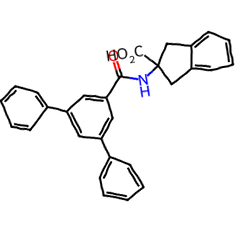 O=C(NC1(C(=O)O)Cc2ccccc2C1)c1cc(-c2ccccc2)cc(-c2ccccc2)c1